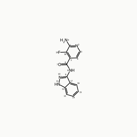 Nc1nccc(C(=O)Nc2n[nH]c3ccccc23)c1F